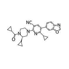 N#Cc1cc(-c2ccc3ncoc3c2)c(C2CC2)nc1N1CCN(C(=O)C2CC2)[C@H](C2CC2)C1